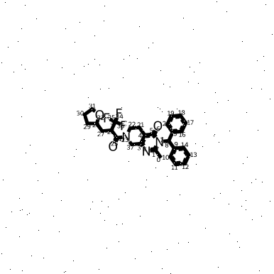 Cc1nc2c(c(=O)n1C(c1ccccc1)c1ccccc1)CCN(C(=O)C(CC1CCCO1)C(F)(F)F)C2